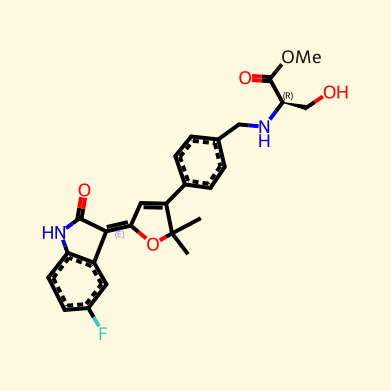 COC(=O)[C@@H](CO)NCc1ccc(C2=C/C(=C3\C(=O)Nc4ccc(F)cc43)OC2(C)C)cc1